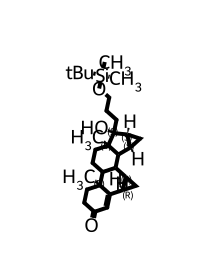 CC(C)(C)[Si](C)(C)OCCC[C@]1(O)[C@H]2C[C@H]2C2C3C(CC[C@@]21C)[C@@]1(C)CCC(=O)C=C1[C@@H]1C[C@H]31